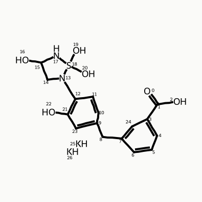 O=C(O)c1cccc(Cc2ccc(N3CC(O)NS3(O)O)c(O)c2)c1.[KH].[KH]